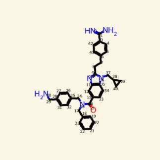 N=C(N)c1ccc(CCc2nc3cc(C(=O)N(Cc4ccccc4)Cc4ccc(CN)cc4)ccc3n2CC2CC2)cc1